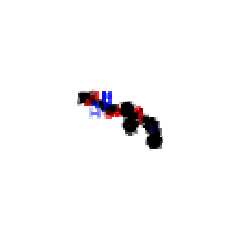 CC(C)(C)OC(=O)NCCNC(=O)COc1cccc(C(C(=O)OCC2CCN(Cc3ccccc3)CC2)c2ccccc2)c1